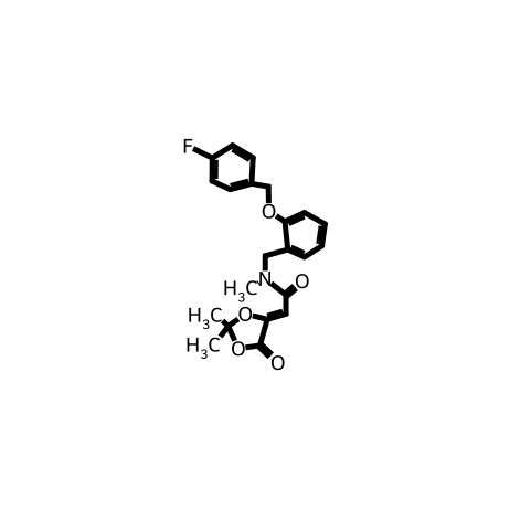 CN(Cc1ccccc1OCc1ccc(F)cc1)C(=O)/C=C1\OC(C)(C)OC1=O